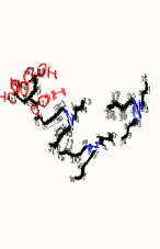 CCCCN(CCCC)CCCC.CCCCN(CCCC)CCCC.CCCCN(CCCC)CCCC.O=C(O)CC(O)(CC(=O)O)C(=O)O